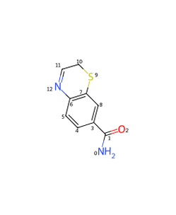 NC(=O)c1ccc2c(c1)SCC=N2